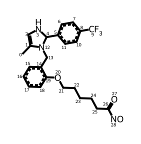 CC1=CNC(c2ccc(C(F)(F)F)cc2)N1Cc1ccccc1OCCCCCC(=O)N=O